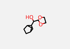 OC(C1OCCO1)C1CC2CCC1C2